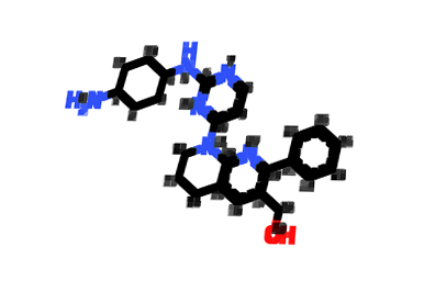 NC1CCC(Nc2nccc(N3CCCc4cc(CO)c(-c5ccccc5)nc43)n2)CC1